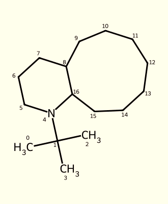 CC(C)(C)N1CCCC2CCCCCCCC21